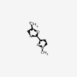 Cc1cnc(-c2ccn(C)n2)o1